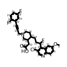 COc1ccc2ncc(Cl)c(C(F)CCC3CCN(CC#Cc4cc(F)ccc4F)CC3CC(=O)O)c2c1